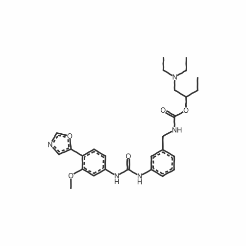 CCC(CN(CC)CC)OC(=O)NCc1cccc(NC(=O)Nc2ccc(-c3cnco3)c(OC)c2)c1